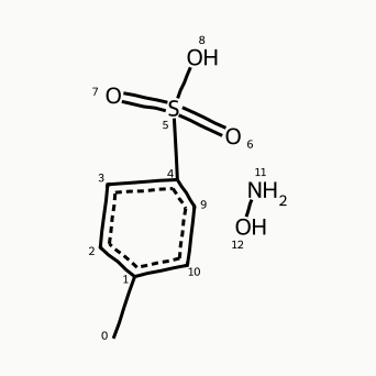 Cc1ccc(S(=O)(=O)O)cc1.NO